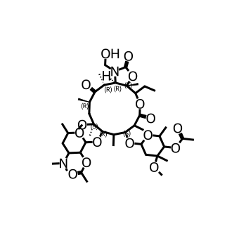 CCC1OC(=O)C(C)[C@@H](OC2CC(C)(OC)C(OC(C)=O)C(C)O2)C(C)[C@@H](OC2OC(C)CC(N(C)C)C2OC(C)=O)[C@@](C)(OC)C[C@@H](C)C(=O)[C@H](C)[C@H]2N(CO)C(=O)O[C@]12C